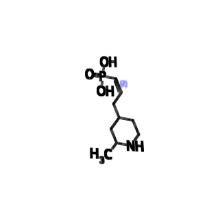 CC1CC(C/C=C\P(=O)(O)O)CCN1